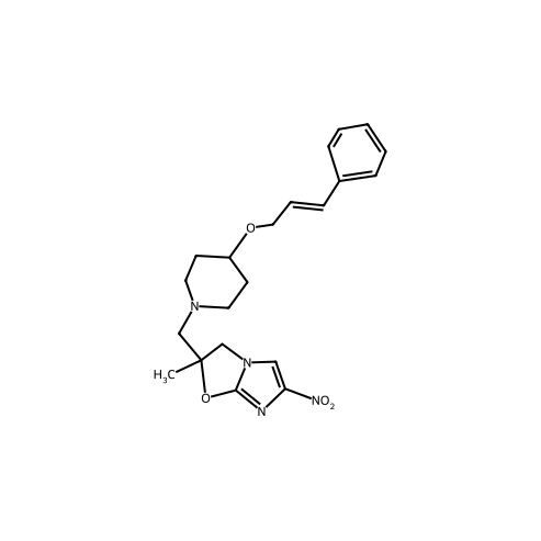 CC1(CN2CCC(OCC=Cc3ccccc3)CC2)Cn2cc([N+](=O)[O-])nc2O1